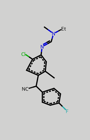 CCN(C)C=Nc1cc(C)c(C(C#N)c2ccc(F)cc2)cc1Cl